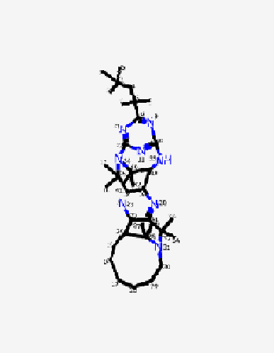 CC(C)(C)CC(C)(C)c1nc2nc(n1)N1C(C)(C)CC(N=C3C([N])C4CCCCCCN(C3(C)C)C4(C)C)C(N2)C1(C)C